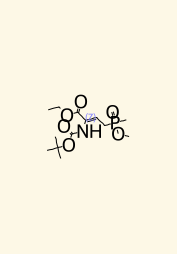 CCOC(=O)/C(=C/CP(C)(=O)OC)NC(=O)OC(C)(C)C